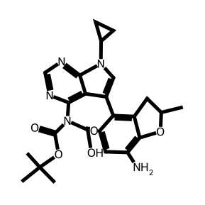 CC1Cc2c(-c3cn(C4CC4)c4ncnc(N(C(=O)O)C(=O)OC(C)(C)C)c34)ccc(N)c2O1